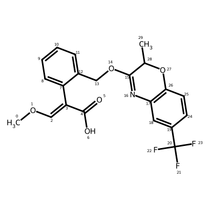 CO/C=C(/C(=O)O)c1ccccc1COC1=Nc2cc(C(F)(F)F)ccc2OC1C